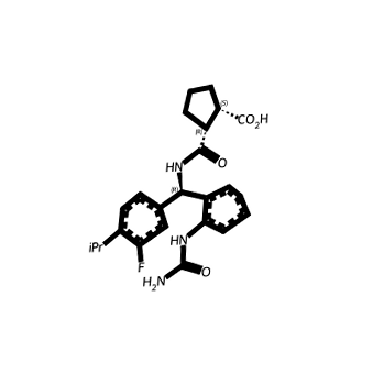 CC(C)c1ccc([C@@H](NC(=O)[C@@H]2CCC[C@@H]2C(=O)O)c2ccccc2NC(N)=O)cc1F